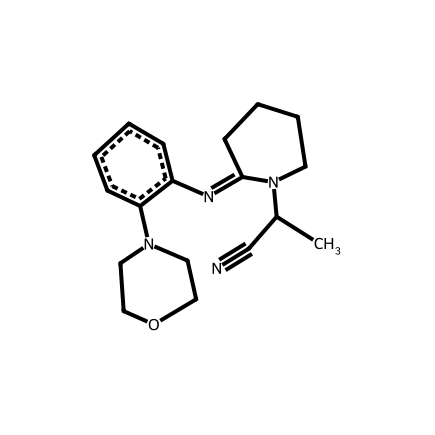 CC(C#N)N1CCCCC1=Nc1ccccc1N1CCOCC1